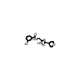 COc1cccc(C(=O)NCc2nc(-c3ccncc3)n[nH]2)c1